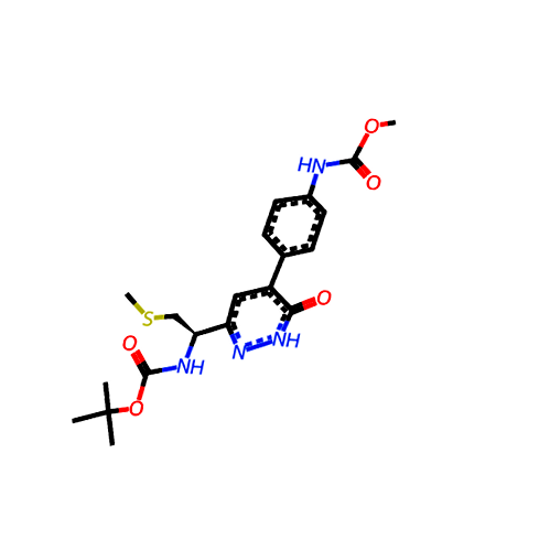 COC(=O)Nc1ccc(-c2cc([C@H](CSC)NC(=O)OC(C)(C)C)n[nH]c2=O)cc1